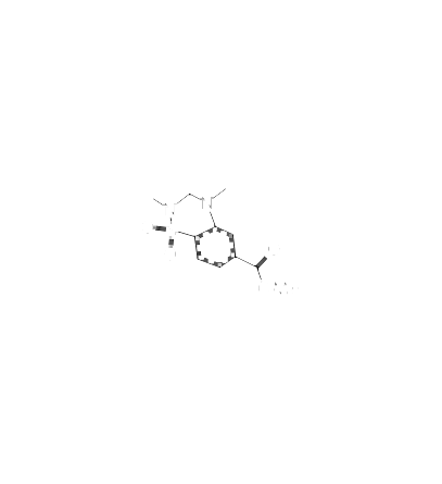 COC(=O)c1ccc2c(c1)N(C)CN(C)S2(=O)=O